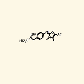 CC(=O)c1s/c(=N/c2ccc(CN(C(=O)O)C(C)(C)C)cc2)n(C)c1C